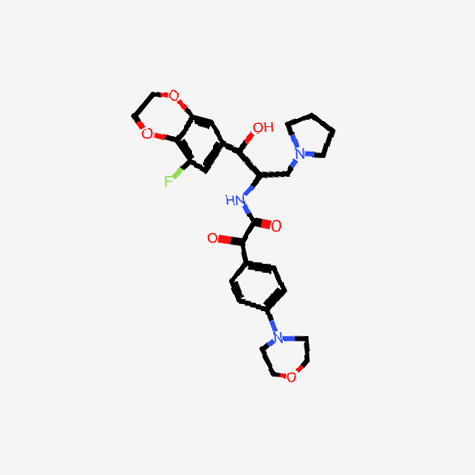 O=C(NC(CN1CCCC1)C(O)c1cc(F)c2c(c1)OCCO2)C(=O)c1ccc(N2CCOCC2)cc1